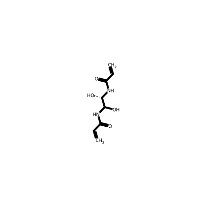 C=CC(=O)NC(O)[C@H](O)NC(=O)C=C